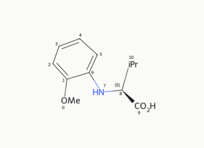 COc1ccccc1N[C@H](C(=O)O)C(C)C